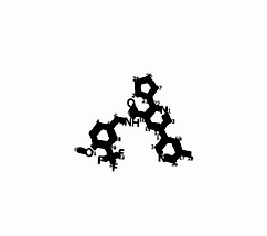 COc1ccc(CNC(=O)c2cc(-c3cncc(C)c3)cnc2C2CCCC2)cc1C(F)(F)F